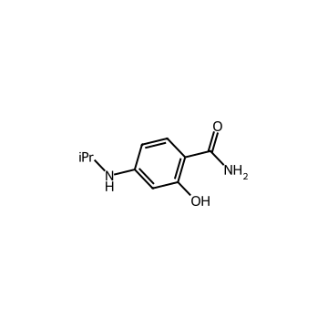 CC(C)Nc1ccc(C(N)=O)c(O)c1